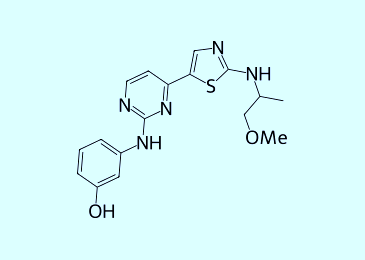 COCC(C)Nc1ncc(-c2ccnc(Nc3cccc(O)c3)n2)s1